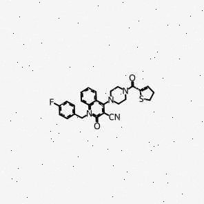 N#Cc1c(N2CCN(C(=O)C3=CCCS3)CC2)c2ccccc2n(Cc2ccc(F)cc2)c1=O